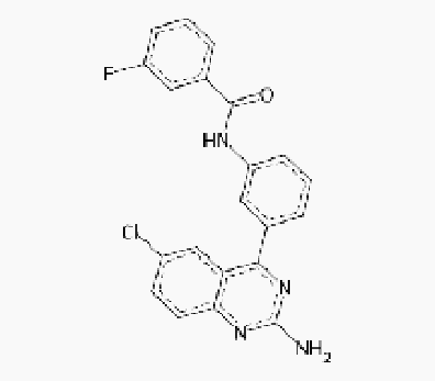 Nc1nc(-c2cccc(NC(=O)c3cccc(F)c3)c2)c2cc(Cl)ccc2n1